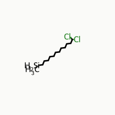 C[SiH2]CCCCCCCCCCCC(Cl)Cl